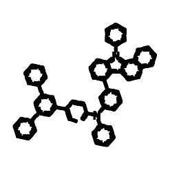 C=C(/C=C\C(=C/C)c1cc(-c2ccccc2)cc(-c2ccccc2)c1)N(c1ccccc1)c1cccc(-c2cccc3c2c2ccc4ccccc4c2n3-c2ccccc2)c1